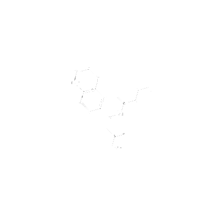 COC(=O)C[C@@H](NC(=O)CCC(=O)O)c1ccc2c(c1)CCCN2